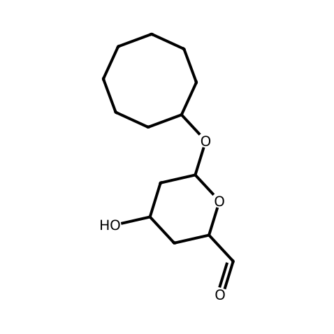 O=CC1CC(O)CC(OC2CCCCCCC2)O1